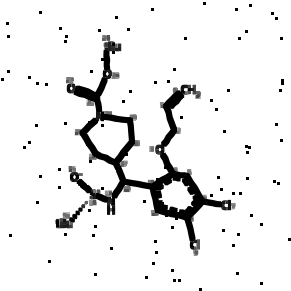 C=CCOc1cc(Cl)c(Cl)cc1C(N[S@@+]([O-])C(C)(C)C)C1CCN(C(=O)OC(C)(C)C)CC1